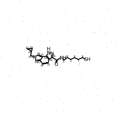 O=C(NCCCCCCS)c1n[nH]c2c1ccc1nn(CC3CC3)cc12